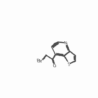 O=C(CBr)c1ccnc2ccsc12